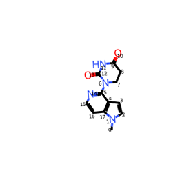 Cn1ccc2c(N3CCC(=O)NC3=O)nccc21